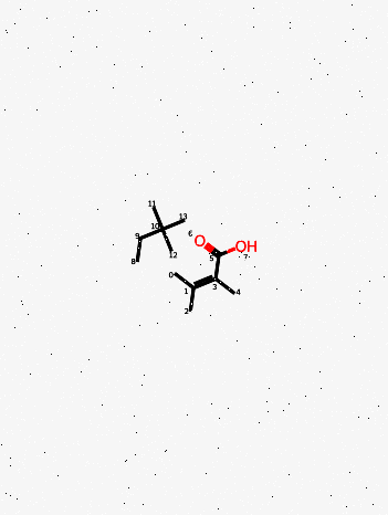 CC(C)=C(C)C(=O)O.CCC(C)(C)C